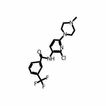 CN1CCN(c2ccc(NC(=O)c3cccc(C(F)(F)F)c3)c(Cl)n2)CC1